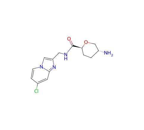 N[C@@H]1CC[C@@H](C(=O)NCc2cn3ccc(Cl)cc3n2)OC1